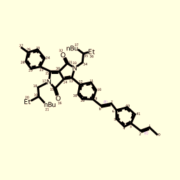 C/C=C/c1ccc(/C=C/c2ccc(C3=C4C(=O)N(CC(CC)CCCC)C(c5ccc(C)cc5)=C4C(=O)N3CC(CC)CCCC)cc2)cc1